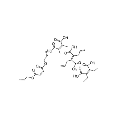 C/C(C(=O)O)=C(\C)C(=O)O.C=CC/C(C(=O)O)=C(/CC=C)C(=O)O.C=CCOC(=O)/C=C\C(=O)OCC=C.CC/C(C(=O)O)=C(\CC)C(=O)O